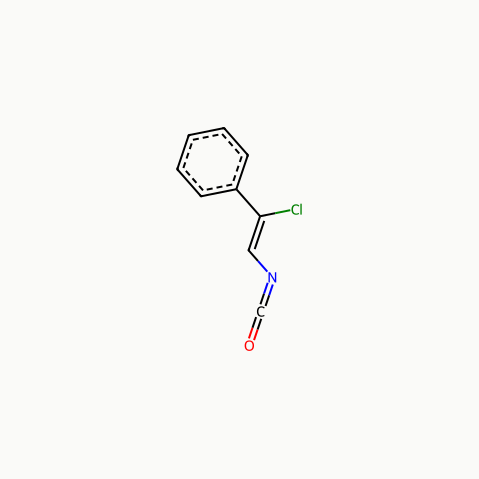 O=C=NC=C(Cl)c1ccccc1